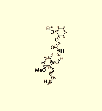 CCOc1ccccc1OCC(=O)N[C@H](COC(C)=O)Cc1ccc(OC)c(SOON)c1